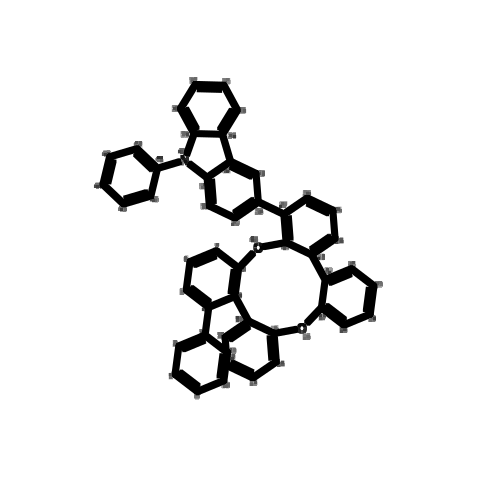 c1ccc(-c2cccc3c2-c2ccccc2Oc2ccccc2-c2cccc(-c4ccc5c(c4)c4ccccc4n5-c4ccccc4)c2O3)cc1